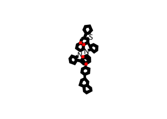 c1ccc(N(c2ccc(-c3ccc(-c4ccc5ccccc5c4)cc3)cc2)c2ccccc2-n2c3ccccc3c3ccccc32)c(-c2cccc3c2sc2ccccc23)c1